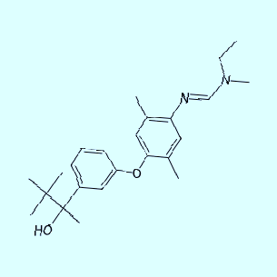 CCN(C)/C=N/c1cc(C)c(Oc2cccc(C(C)(O)C(C)(C)C)c2)cc1C